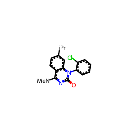 CNc1nc(=O)n(-c2ccccc2Cl)c2cc(C(C)C)ccc12